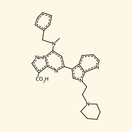 CN(Cc1ccccc1)c1cc(-c2cn(CCN3CCCCC3)c3ncccc23)nc2c(C(=O)O)cnn12